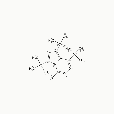 CC(C)(C)c1cnc(N)n2c(C(C)(C)C)cc(C(C)(C)C)c12